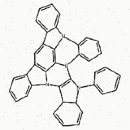 C1=CC2C3=C(B4c5ccccc5-n5c6ccccc6c6cc7c8ccccc8n3c7c4c65)N(c3ccccc3)C2C=C1